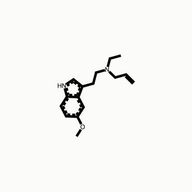 C=CCN(CC)CCc1c[nH]c2ccc(OC)cc12